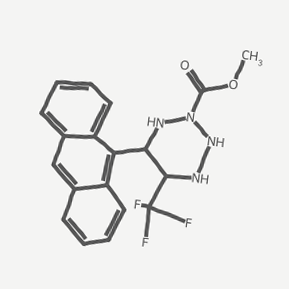 COC(=O)N1NNC(C(F)(F)F)C(c2c3ccccc3cc3ccccc23)N1